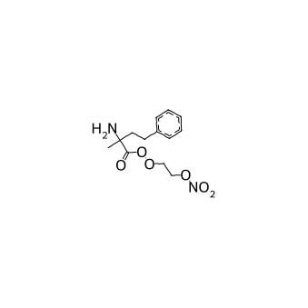 CC(N)(CCc1ccccc1)C(=O)OOCCO[N+](=O)[O-]